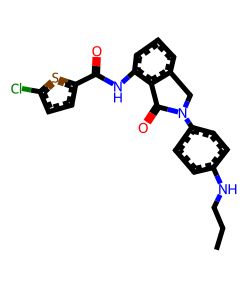 CCCNc1ccc(N2Cc3cccc(NC(=O)c4ccc(Cl)s4)c3C2=O)cc1